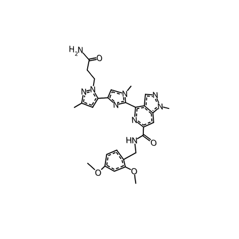 COc1ccc(CNC(=O)c2cc3c(cnn3C)c(-c3nc(-c4cc(C)nn4CCC(N)=O)cn3C)n2)c(OC)c1